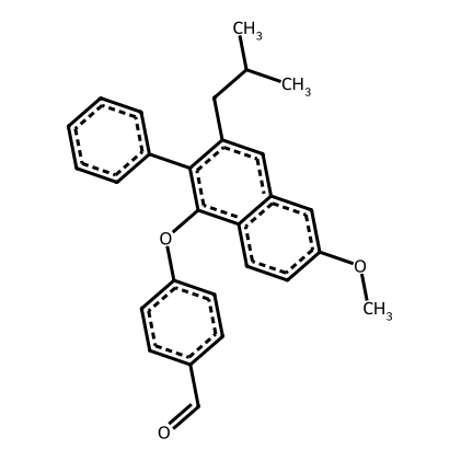 COc1ccc2c(Oc3ccc(C=O)cc3)c(-c3ccccc3)c(CC(C)C)cc2c1